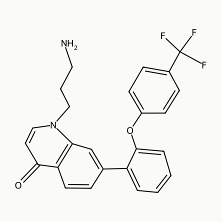 NCCCn1ccc(=O)c2ccc(-c3ccccc3Oc3ccc(C(F)(F)F)cc3)cc21